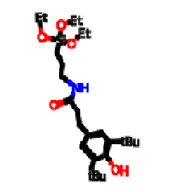 CCO[Si](CCCNC(=O)CCc1cc(C(C)(C)C)c(O)c(C(C)(C)C)c1)(OCC)OCC